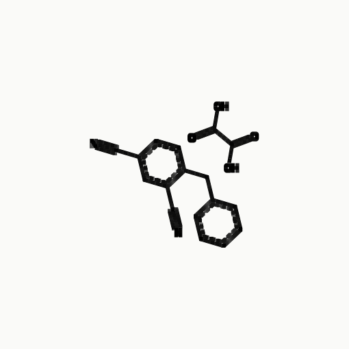 N#Cc1ccc(Cc2ccccc2)c(C#N)c1.O=C(O)C(=O)O